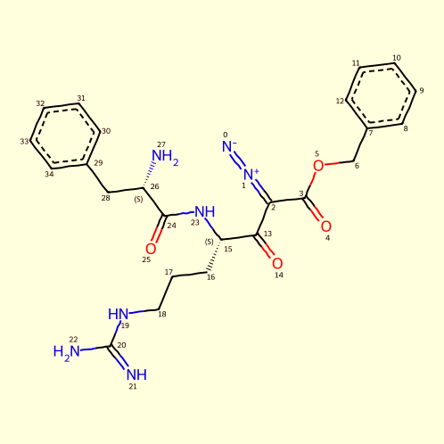 [N-]=[N+]=C(C(=O)OCc1ccccc1)C(=O)[C@H](CCCNC(=N)N)NC(=O)[C@@H](N)Cc1ccccc1